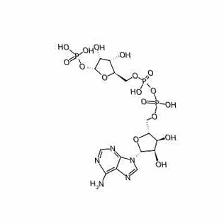 Nc1ncnc2c1ncn2[C@@H]1O[C@H](COP(=O)(O)OP(=O)(O)OC[C@H]2O[C@H](OP(=O)(O)O)[C@H](O)[C@@H]2O)[C@@H](O)[C@H]1O